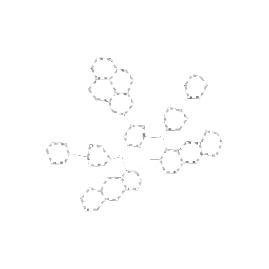 c1ccc(-c2ccc(N3c4cc(-c5cc6ccc7cccc8ccc(c5)c6c78)cc5c4B(c4ccc6cc7ccccc7cc6c43)c3ccc4cc6ccccc6cc4c3N5c3ccc(-c4ccccc4)cc3)cc2)cc1